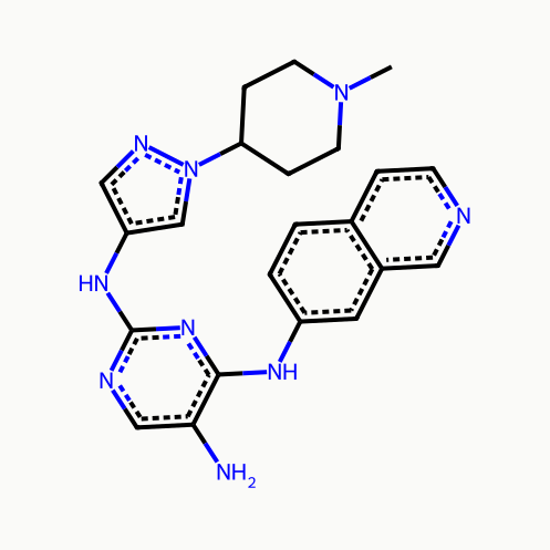 CN1CCC(n2cc(Nc3ncc(N)c(Nc4ccc5ccncc5c4)n3)cn2)CC1